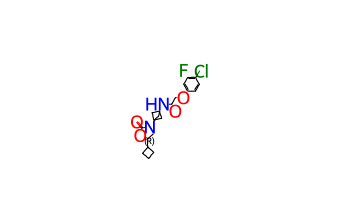 O=C(COc1ccc(Cl)c(F)c1)NC12CC(N3C[C@@H](C4CCC4)OC3=O)(C1)C2